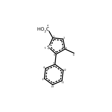 Cc1cc(C(=O)O)sc1-c1ccccc1